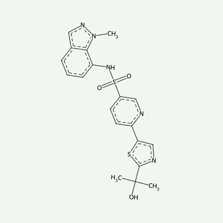 Cn1ncc2cccc(NS(=O)(=O)c3ccc(-c4cnc(C(C)(C)O)s4)nc3)c21